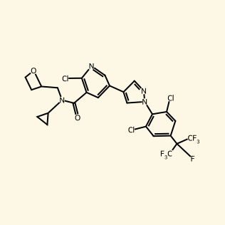 O=C(c1cc(-c2cnn(-c3c(Cl)cc(C(F)(C(F)(F)F)C(F)(F)F)cc3Cl)c2)cnc1Cl)N(CC1CCO1)C1CC1